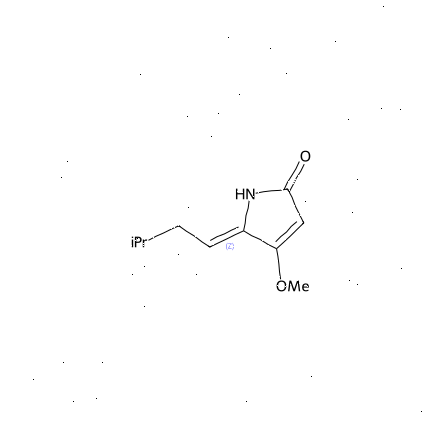 COC1=CC(=O)N/C1=C\CC(C)C